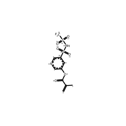 C=C(C)C(=O)Oc1cncc(S(=O)(=O)NS(=O)(=O)C(F)(F)F)c1